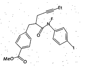 CCC#CCC(Cc1ccc(C(=O)OC)cc1)C(=O)N(F)c1ccc(I)cc1